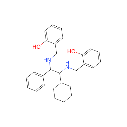 Oc1ccccc1CNC(c1ccccc1)C(NCc1ccccc1O)C1CCCCC1